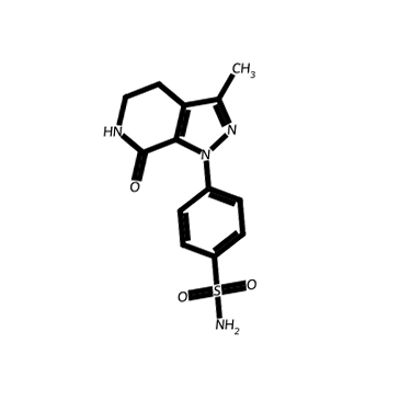 Cc1nn(-c2ccc(S(N)(=O)=O)cc2)c2c1CCNC2=O